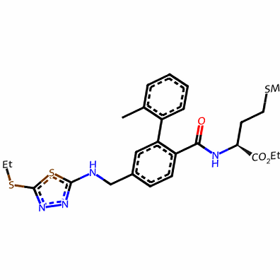 CCOC(=O)[C@H](CCSC)NC(=O)c1ccc(CNc2nnc(SCC)s2)cc1-c1ccccc1C